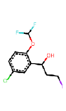 OC(CCI)c1cc(Cl)ccc1OC(F)F